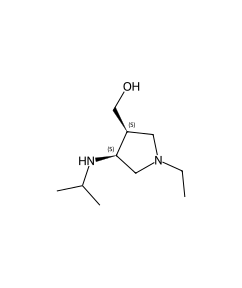 CCN1C[C@H](CO)[C@H](NC(C)C)C1